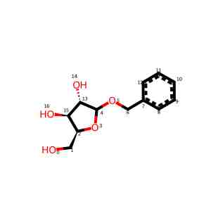 OC[C@@H]1OC(OCc2ccccc2)[C@@H](O)[C@@H]1O